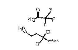 CCCCCCC(Cl)(Cl)CCO.O=C(O)C(F)(F)F